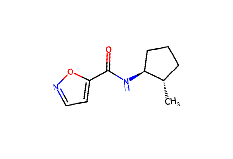 C[C@H]1CCC[C@@H]1NC(=O)c1ccno1